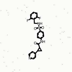 O=C(Nc1ccc(S(=O)(=O)NCc2c(F)cccc2F)cc1)C1CC1c1ccncc1